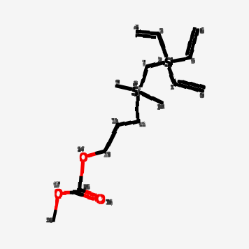 C=C[Si](C=C)(C=C)C[Si](C)(C)CCCOC(=O)OC